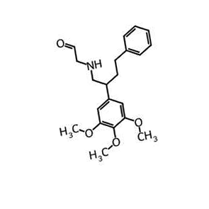 COc1cc(C(CCc2ccccc2)CNCC=O)cc(OC)c1OC